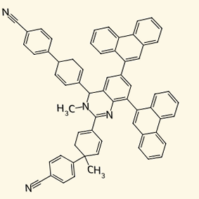 CN1C(C2=CCC(C)(c3ccc(C#N)cc3)C=C2)=Nc2c(-c3cc4ccccc4c4ccccc34)cc(-c3cc4ccccc4c4ccccc34)cc2C1C1=CCC(c2ccc(C#N)cc2)C=C1